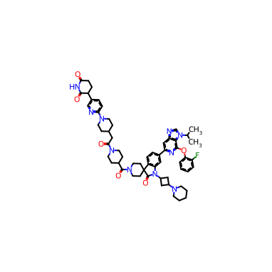 CC(C)n1cnc2cc(-c3ccc4c(c3)N(C3CC(N5CCCCC5)C3)C(=O)C43CCN(C(=O)C4CCN(C(=O)CC5CCN(c6ccc(C7CCC(=O)NC7=O)cn6)CC5)CC4)CC3)nc(Oc3ccccc3F)c21